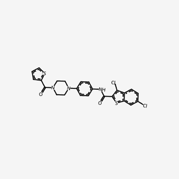 O=C(Nc1ccc(N2CCN(C(=O)c3cccs3)CC2)cc1)c1sc2cc(Cl)ccc2c1Cl